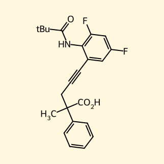 CC(C)(C)C(=O)Nc1c(F)cc(F)cc1C#CCC(C)(C(=O)O)c1ccccc1